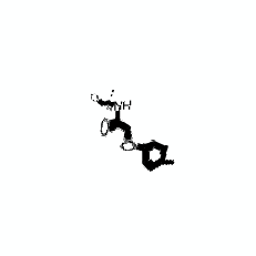 Cc1ccc(OCC(=O)N[C@@H](C)[C]=O)cc1